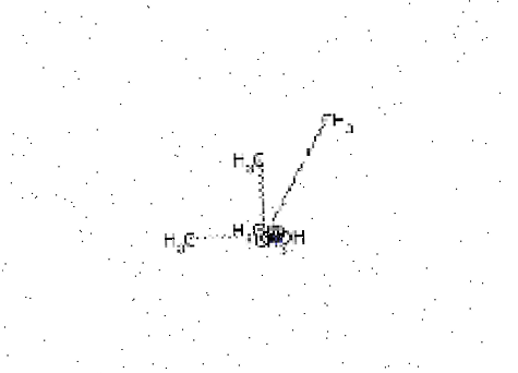 CCCCCCCCCCCCCCCCCCCCCCCCCCCCCCCCCC(OC(=O)/C=C\C(=O)O)(C(C)CCCCCCCCCCCCCCCCCC)C(C)CCCCCCCCCCCCCCCCCC